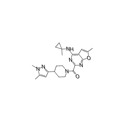 Cc1cc2c(NC3(C)CC3)nc(C(=O)N3CCC(c4cc(C)n(C)n4)CC3)nc2o1